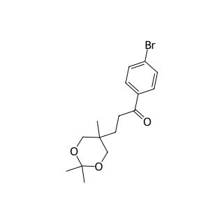 CC1(CCC(=O)c2ccc(Br)cc2)COC(C)(C)OC1